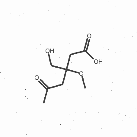 COC(CO)(CC(C)=O)CC(=O)O